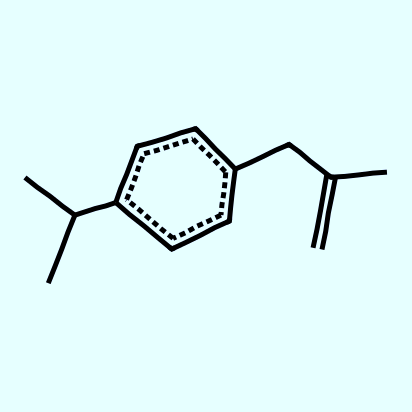 C=C(C)Cc1ccc(C(C)C)cc1